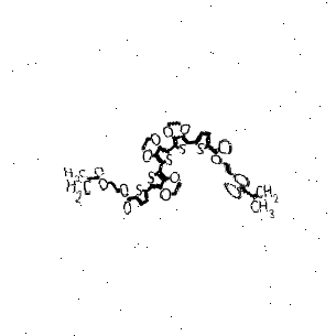 C=C(C)C(=O)OCCOC(=O)c1ccc(-c2sc(-c3sc(-c4sc(-c5ccc(C(=O)OCCOC(=O)C(=C)C)s5)c5c4OCCO5)c4c3OCCO4)c3c2OCCO3)s1